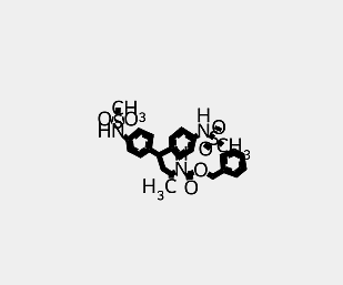 CC(CC(c1ccc(NS(C)(=O)=O)cc1)c1ccc(NS(C)(=O)=O)cc1)NC(=O)OCc1ccccc1